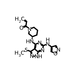 C=CC(=O)N1CCC[C@@H](Nc2nc(Nc3cnoc3)nc3[nH]nc(SC)c23)C1